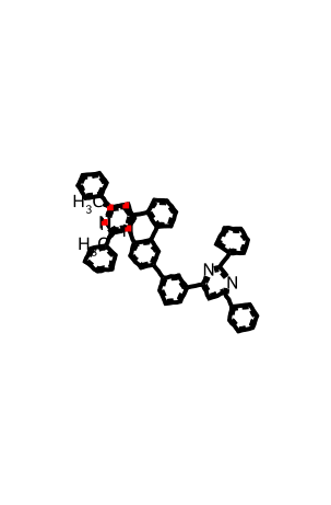 Cc1ccc(-c2ccc(-c3cccc(-c4cc(-c5ccccc5)nc(-c5ccccc5)n4)c3)cc2-c2ccccc2-c2cc(-c3ccccc3)nc(-c3ccccc3)n2)c(C)n1